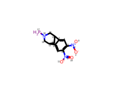 O=[N+]([O-])c1cc2c(cc1[N+](=O)[O-])C1CC2CN(P)C1